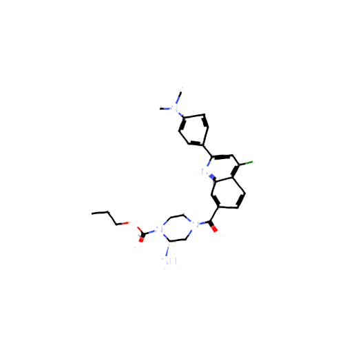 CCCOC(=O)N1CCN(C(=O)c2ccc3c(Cl)cc(-c4ccc(N(C)C)cc4)nc3c2)C[C@H]1N